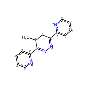 CC1CC(c2ccccn2)=NN=C1c1ccccn1